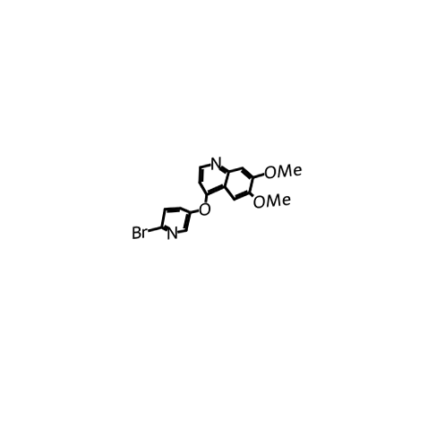 COc1cc2nccc(Oc3ccc(Br)nc3)c2cc1OC